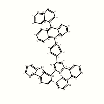 c1ccc(-c2ccccc2-c2nc(-c3ccc(-c4c5ccccc5c(-c5cccc6ccccc56)c5ccccc45)cc3)nc(-c3cccc4c3sc3ccccc34)n2)cc1